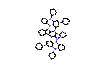 c1ccc(-c2cc3c4c(c2)N(c2ccccc2)c2ccccc2B4n2c4ccccc4c4c5c6c(c-3c42)c2ccccc2n6B2c3ccccc3N(c3ccccc3)c3cc(-c4ccccc4)cc-5c32)cc1